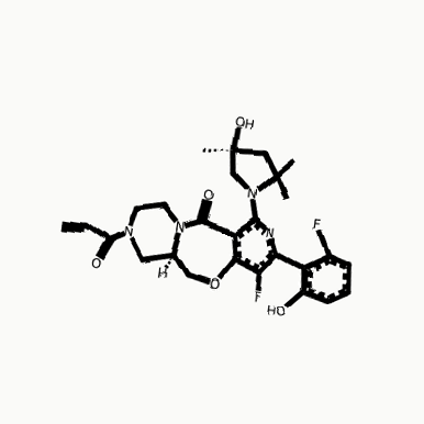 C=CC(=O)N1CCN2C(=O)c3c(N4C[C@@](C)(O)CC4(C)C)nc(-c4c(O)cccc4F)c(F)c3OC[C@H]2C1